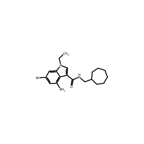 Bc1cc(Br)cc2c1c(C(=O)NCC1CCCCCC1)cn2CC